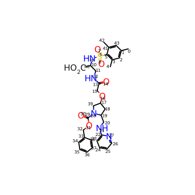 Cc1cc(C)c(S(=O)(=O)NC(CNC(=O)COC2CC(CNc3ccccn3)N(C(=O)OCc3ccccc3)C2)C(=O)O)c(C)c1